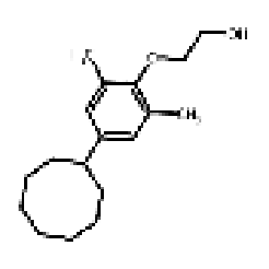 Cc1cc(C2CCCCCCC2)cc(C)c1OCCO